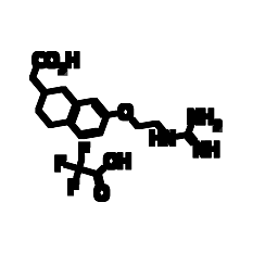 N=C(N)NCCOc1ccc2c(c1)CC(CC(=O)O)CC2.O=C(O)C(F)(F)F